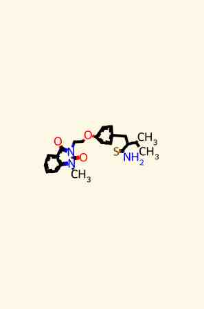 CC(C)C(Cc1ccc(OCCn2c(=O)c3ccccc3n(C)c2=O)cc1)C(N)=S